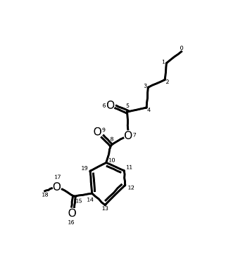 CCCCCC(=O)OC(=O)c1cccc(C(=O)OC)c1